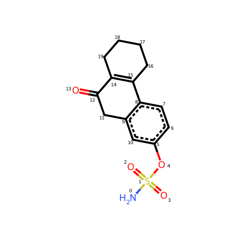 NS(=O)(=O)Oc1ccc2c(c1)CC(=O)C1=C2CCCC1